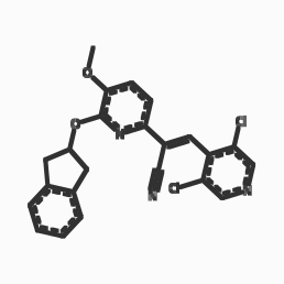 COc1ccc(/C(C#N)=C/c2c(Cl)cncc2Cl)nc1OC1Cc2ccccc2C1